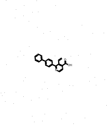 C=Cc1c(C(=O)O)ccnc1-c1ccc(-c2ccccc2)cc1